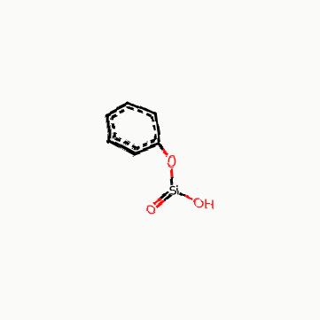 O=[Si](O)Oc1ccccc1